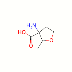 CC1OCCC1(N)C(=O)O